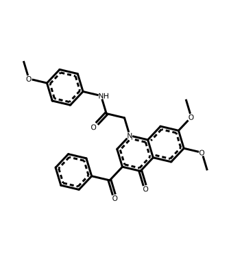 COc1ccc(NC(=O)Cn2cc(C(=O)c3ccccc3)c(=O)c3cc(OC)c(OC)cc32)cc1